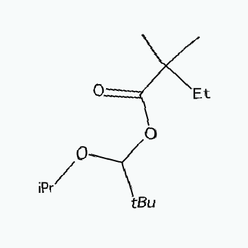 CCC(C)(C)C(=O)OC(OC(C)C)C(C)(C)C